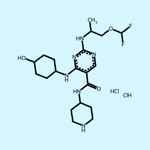 CC(COC(F)F)Nc1ncc(C(=O)NC2CCNCC2)c(NC2CCC(O)CC2)n1.Cl.Cl